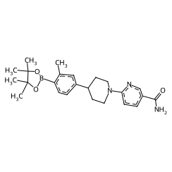 Cc1cc(C2CCN(c3ccc(C(N)=O)cn3)CC2)ccc1B1OC(C)(C)C(C)(C)O1